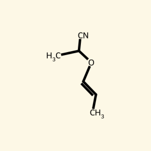 CC=COC(C)C#N